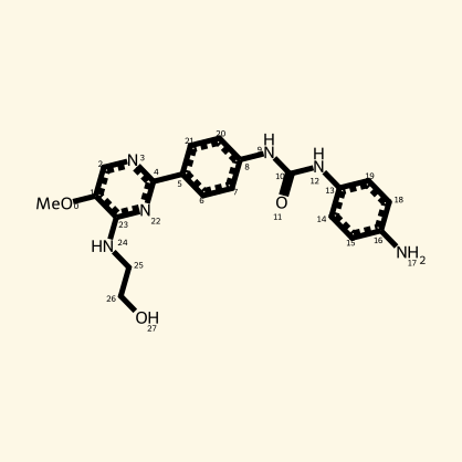 COc1cnc(-c2ccc(NC(=O)Nc3ccc(N)cc3)cc2)nc1NCCO